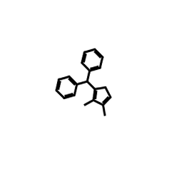 CC1=CCC(C(c2ccccc2)c2ccccc2)=C1C